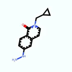 NNc1ccc2c(=O)n(CC3CC3)ccc2c1